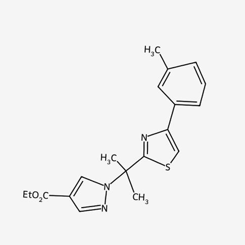 CCOC(=O)c1cnn(C(C)(C)c2nc(-c3cccc(C)c3)cs2)c1